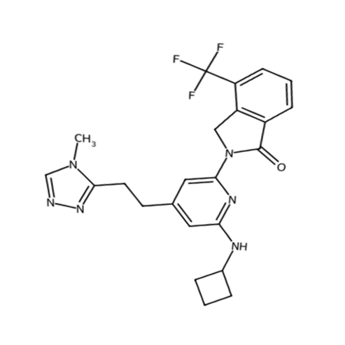 Cn1cnnc1CCc1cc(NC2CCC2)nc(N2Cc3c(cccc3C(F)(F)F)C2=O)c1